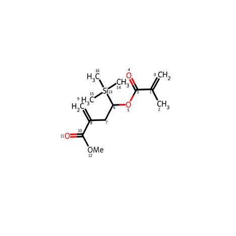 C=C(C)C(=O)OC(CC(=C)C(=O)OC)[Si](C)(C)C